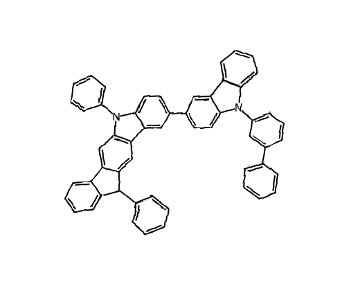 c1ccc(-c2cccc(-n3c4ccccc4c4cc(-c5ccc6c(c5)c5cc7c(cc5n6-c5ccccc5)-c5ccccc5C7c5ccccc5)ccc43)c2)cc1